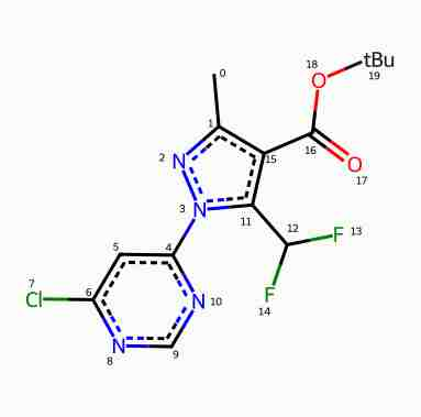 Cc1nn(-c2cc(Cl)ncn2)c(C(F)F)c1C(=O)OC(C)(C)C